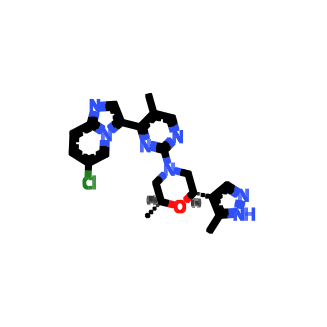 Cc1cnc(N2C[C@@H](C)O[C@@H](c3cn[nH]c3C)C2)nc1-c1cnc2ccc(Cl)cn12